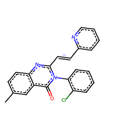 Cc1ccc2nc(/C=C/c3ccccn3)n(-c3ccccc3Cl)c(=O)c2c1